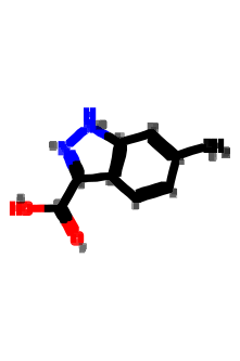 Bc1ccc2c(C(=O)O)n[nH]c2c1